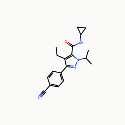 CCc1c(-c2ccc(C#N)cc2)nn(C(C)C)c1C(=O)NC1CC1